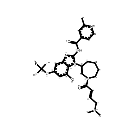 Cc1cc(C(=O)Nc2nc3cc(OC(F)(F)F)cc(Cl)c3n2C2CCCCN(C(=O)/C=C/CN(C)C)C2)ccn1